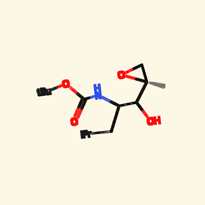 CC(C)CC(NC(=O)OC(C)(C)C)C(O)[C@]1(C)CO1